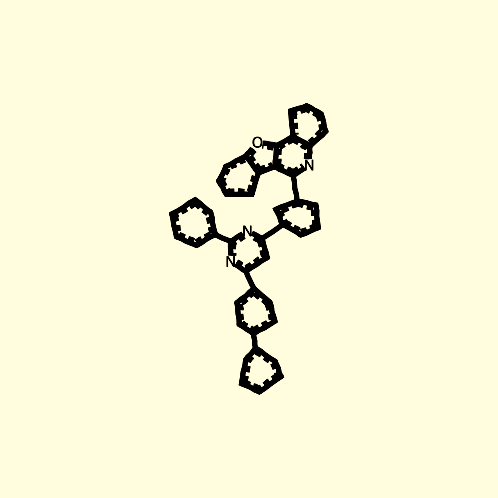 c1ccc(-c2ccc(-c3cc(-c4cccc(-c5nc6ccccc6c6oc7ccccc7c56)c4)nc(-c4ccccc4)n3)cc2)cc1